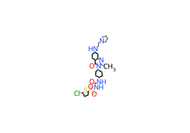 Cc1nc2cc(NCCN3CCCC3)ccc2c(=O)n1-c1ccc(NC(=O)NS(=O)(=O)c2ccc(Cl)s2)cc1